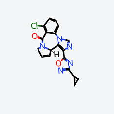 O=C1c2c(Cl)cccc2-n2cnc(-c3nc(C4CC4)no3)c2[C@H]2C=CCN12